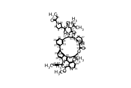 C=CC(=O)N1CCC(C(=O)N(C)[C@H](C(=O)N[C@H]2Cc3cccc(c3)-c3ccc4c(c3)c(c(-c3cccnc3[C@H](C)OC)n4CC#CC)CC(C)(C)COC(=O)[C@@H]3CCCN(N3)C2=O)C(C)C)C1